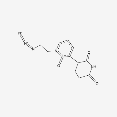 [N-]=[N+]=NCCn1cccc(C2CCC(=O)NC2=O)c1=O